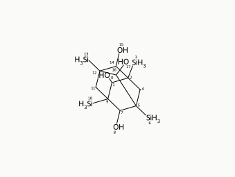 OC1C2([SiH3])CC3([SiH3])C(O)C1([SiH3])CC([SiH3])(C2O)C3O